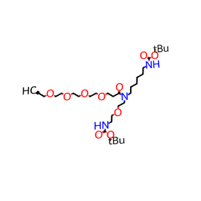 C#CCOCCOCCOCCOCCC(=O)N(CCCCCCNC(=O)OC(C)(C)C)CCOCCNC(=O)OC(C)(C)C